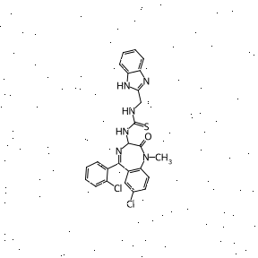 CN1C(=O)C(NC(=S)NCc2nc3ccccc3[nH]2)N=C(c2ccccc2Cl)c2cc(Cl)ccc21